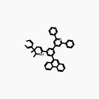 C/C=C\C(=C/C)C1(C)CC=C(c2cc(C3=C4C=CC=CC4C4C=CC=CC4=C3)cc(-c3cc(-c4ccccc4)nc(-c4ccccc4)c3)c2)NC1C